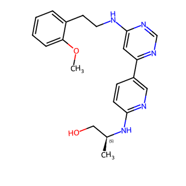 COc1ccccc1CCNc1cc(-c2ccc(N[C@@H](C)CO)nc2)ncn1